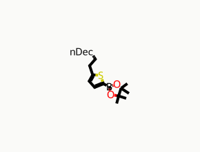 CCCCCCCCCCCCc1ccc(B2OC(C)(C)C(C)(C)O2)s1